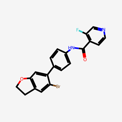 O=C(Nc1ccc(-c2cc3c(cc2Br)CCO3)cc1)c1ccncc1F